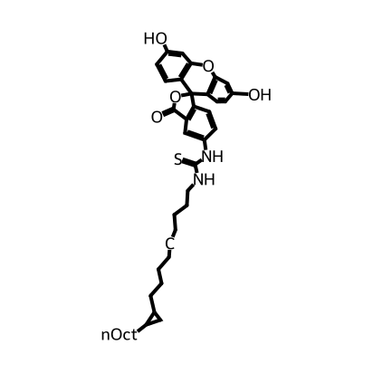 CCCCCCCCC1CC1CCCCCCCCCNC(=S)Nc1ccc2c(c1)C(=O)OC21c2ccc(O)cc2Oc2cc(O)ccc21